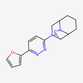 CN1C2CCCC1CN(c1ccc(-c3ccco3)nn1)C2